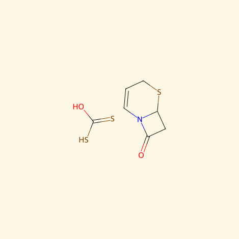 O=C1CC2SCC=CN12.OC(=S)S